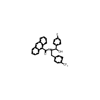 O=C(NC(Cc1ccc(C(F)(F)F)cc1)C(O)c1ccc(F)cc1)c1c2ccccc2cc2ccccc12